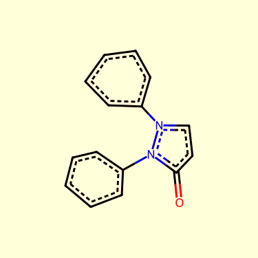 O=c1ccn(-c2ccccc2)n1-c1ccccc1